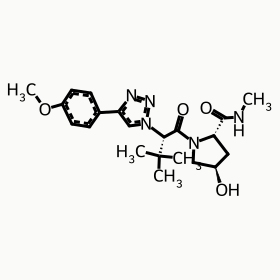 CNC(=O)[C@@H]1C[C@@H](O)CN1C(=O)[C@@H](n1cc(-c2ccc(OC)cc2)nn1)C(C)(C)C